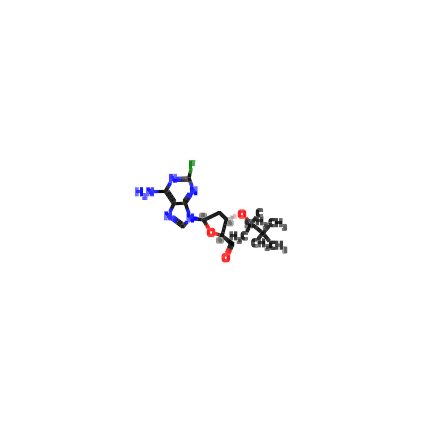 CC(C)(C)[Si](C)(C)O[C@H]1C[C@H](n2cnc3c(N)nc(F)nc32)O[C@@H]1C=O